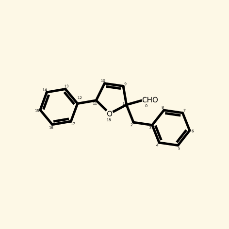 O=CC1(Cc2ccccc2)C=CC(c2ccccc2)O1